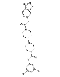 O=C(Cc1ccc2[nH]nnc2c1)N1CCC(N2CCN(C(=O)Nc3cc(Cl)cc(Cl)c3)CC2)CC1